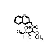 COC(C(C)N(O)C=O)S(=O)(=O)Cc1cnc2ccccc2c1